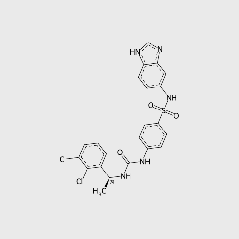 C[C@H](NC(=O)Nc1ccc(S(=O)(=O)Nc2ccc3[nH]cnc3c2)cc1)c1cccc(Cl)c1Cl